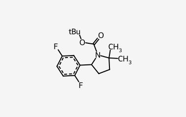 CC(C)(C)OC(=O)N1C(c2cc(F)ccc2F)CCC1(C)C